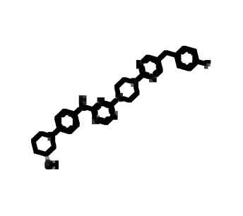 O[C@@H]1CCCN(c2ccc(Nc3ncnc(N4CCN(c5ncc(Cc6ccc(F)cc6)cn5)CC4)n3)cc2)C1